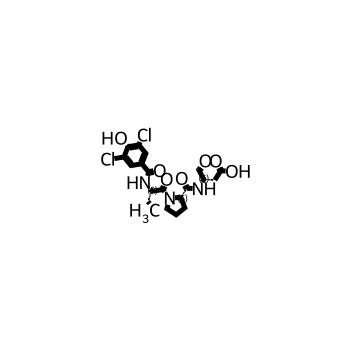 CC[C@H](NC(=O)c1cc(Cl)c(O)c(Cl)c1)C(=O)N1CCC[C@H]1C(=O)N[C@H](C=O)CC(=O)O